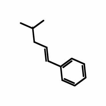 C[C](C)CC=Cc1ccccc1